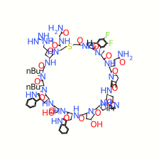 CCCC[C@H]1C(=O)N(C)[C@@H](CCCC)C(=O)N[C@@H](CCCNC(=N)N)C(=O)N[C@H](C(=O)NCC(N)=O)CSCC(=O)N[C@H]2Cc3cc(F)c(F)cc3N(C2=O)[C@@H](C)C(=O)N[C@@H](CCC(N)=O)C(=O)N2CCC[C@H]2C(=O)N[C@@H](Cc2ncc[nH]2)C(=O)N[C@@H](CC(C)C)C(=O)N2C[C@H](O)CC2C(=O)N[C@@H](Cc2c[nH]c3ccccc23)C(=O)N[C@@H](CO)C(=O)N[C@@H](Cc2c[nH]c3ccccc23)C(=O)N1C